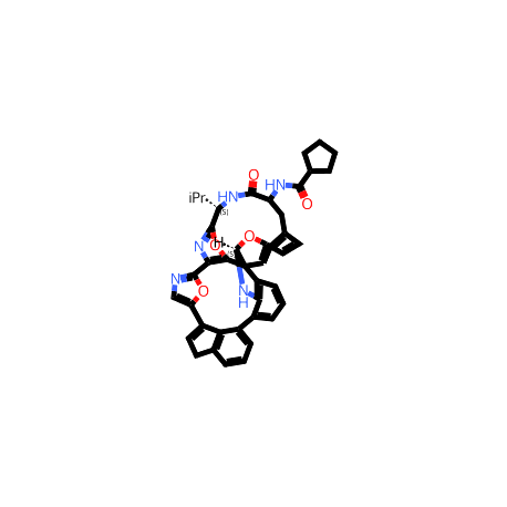 CC(C)[C@@H]1NC(=O)C(NC(=O)C2CCCC2)Cc2ccc3c(c2)C24c5cccc(c5N[C@H]2O3)-c2cccc3c2C(=CC3)c2cnc(o2)-c2nc1oc24